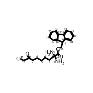 NC(N)(CCCCCC(=O)CCl)C(=O)OCC1c2ccccc2-c2ccccc21